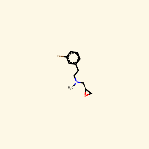 CN(CCc1cccc(Br)c1)C[C@H]1CO1